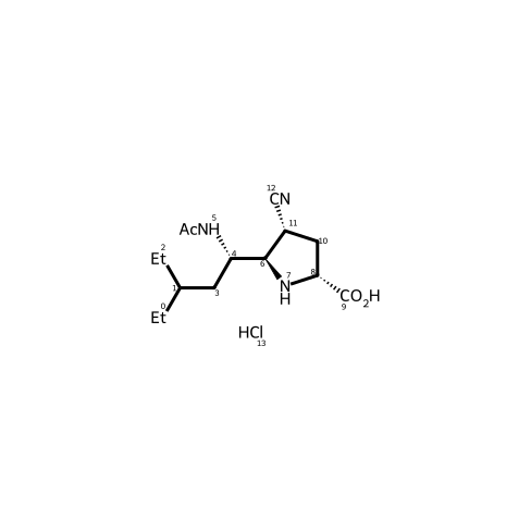 CCC(CC)C[C@H](NC(C)=O)[C@@H]1N[C@@H](C(=O)O)C[C@H]1C#N.Cl